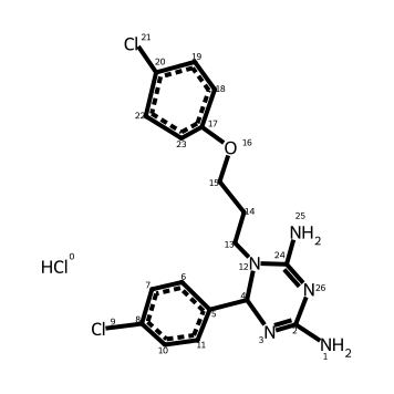 Cl.NC1=NC(c2ccc(Cl)cc2)N(CCCOc2ccc(Cl)cc2)C(N)=N1